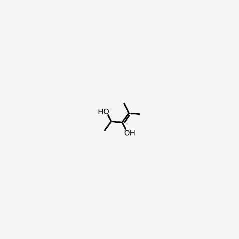 CC(C)=C(O)C(C)O